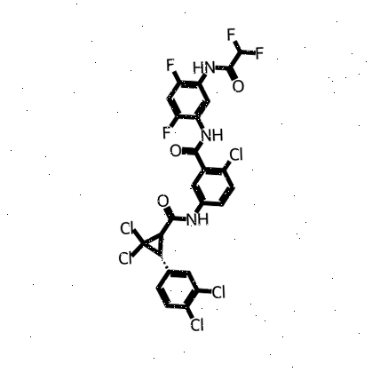 O=C(Nc1cc(NC(=O)C(F)F)c(F)cc1F)c1cc(NC(=O)C2[C@H](c3ccc(Cl)c(Cl)c3)C2(Cl)Cl)ccc1Cl